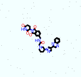 O=C(CN1CCCC(n2cc(-c3cnc4ccccc4n3)cn2)C1)NCc1ccc2c(c1)C(=O)N(C1CCC(=O)NC1=O)C2=O